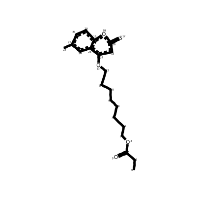 CCC(=O)OCCCCCCCCOc1cc(=S)oc2ccc(C)cc12